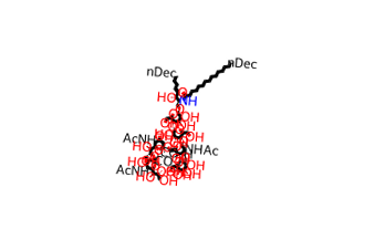 CCCCCCCCCCCCC/C=C/[C@@H](O)[C@H](CO[C@@H]1OC(CO)[C@@H](O[C@@H]2OC(CO)[C@H](O[C@@H]3OC(CO[C@]4(C(=O)O)CC(O)[C@@H](NC(C)=O)C([C@H](O)[C@@H](CO)O[C@]5(C(=O)O)CC(O)[C@@H](NC(C)=O)C([C@H](O)[C@H](O)CO)O5)O4)[C@H](O)[C@H](O[C@@H]4OC(CO)[C@H](O)[C@H](O)C4O)C3NC(C)=O)[C@H](O)C2O)[C@H](O)C1O)NC(=O)CCCCCCCCCCCCCCCCCCCCCCC